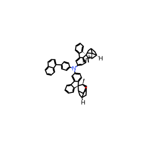 C[C@@H]1C2C[C@H]1C[C@@H](C)[C@@]1(C2)c2ccccc2-c2cc(N(c3ccc(-c4cccc5ccccc45)cc3)c3ccc4c(c3)-c3ccccc3[C@@]43C4CC5C[C@H](C4)C[C@@]3(C)C5)ccc21